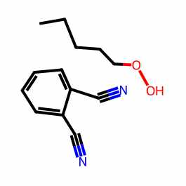 CCCCCOO.N#Cc1ccccc1C#N